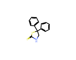 S=C1NCC(c2ccccc2)(c2ccccc2)S1